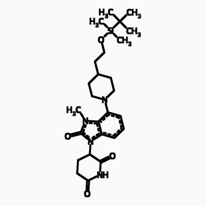 Cn1c(=O)n(C2CCC(=O)NC2=O)c2cccc(N3CCC(CCO[Si](C)(C)C(C)(C)C)CC3)c21